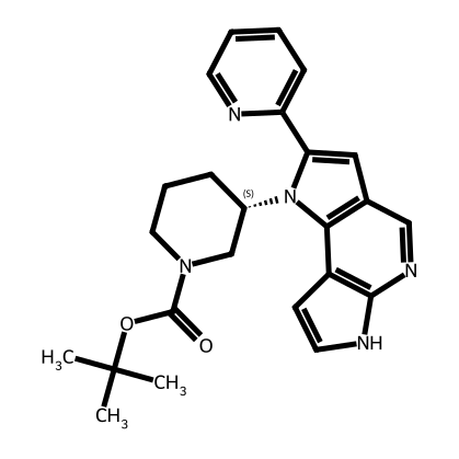 CC(C)(C)OC(=O)N1CCC[C@H](n2c(-c3ccccn3)cc3cnc4[nH]ccc4c32)C1